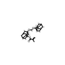 C=C(C)C(=O)OC12CC3CC(CC(OCOC4C5CC6CC(C5)CC4C6)(C3)C1)C2